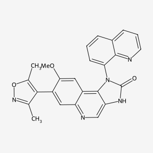 COc1cc2c(cc1-c1c(C)noc1C)ncc1[nH]c(=O)n(-c3cccc4cccnc34)c12